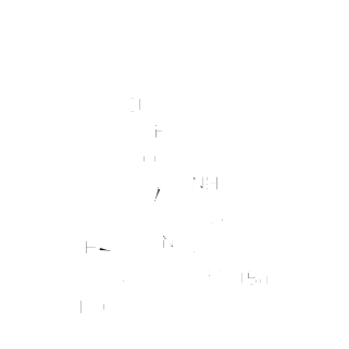 C[C@H]1C2[C@H]1C[C@@H](C(=O)Nc1cccc(-c3ccccc3Cl)c1F)N2C(=O)OC(C)(C)C